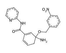 NC1(OCc2cccc([N+](=O)[O-])c2)C=C(C(=O)Nc2ccccn2)C=CC1